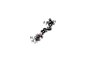 Cc1ncc(C(=O)NCc2cc3nc(-c4ccnc(N5CCC6(NC(=O)NC6=O)C(C(F)(F)F)C5)n4)ccc3cn2)cc1S(C)(=O)=O